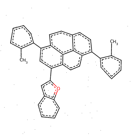 Cc1ccccc1-c1ccc2ccc3c(-c4ccccc4C)cc(-c4cc5ccccc5o4)c4ccc1c2c43